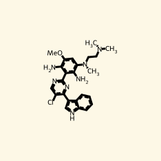 COc1cc(N(C)CCN(C)C)c(N)c(-c2ncc(Cl)c(-c3c[nH]c4ccccc34)n2)c1N